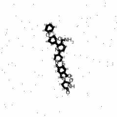 NC(=O)c1ccc(C2CCN(Cc3cc4c(cc3F)C(=O)N(C3CCC(=O)NC3=O)C4)CC2)nc1-c1ccc(Oc2ccccc2)cc1